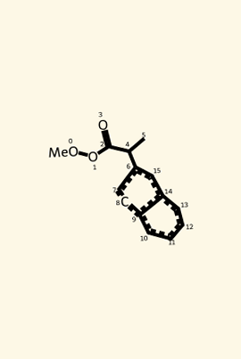 COOC(=O)C(C)c1ccc2ccccc2c1